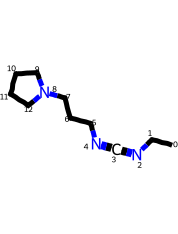 CCN=C=NCCCN1CCCC1